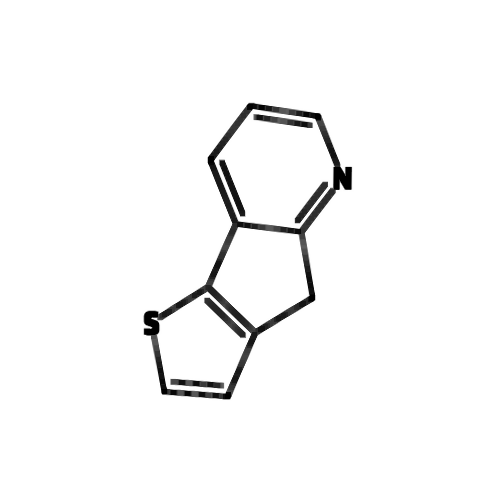 c1cnc2c(c1)-c1sccc1C2